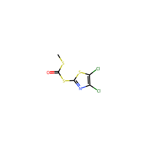 CSC(=O)Sc1nc(Cl)c(Cl)s1